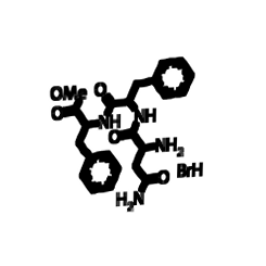 Br.COC(=O)C(Cc1ccccc1)NC(=O)C(Cc1ccccc1)NC(=O)C(N)CC(N)=O